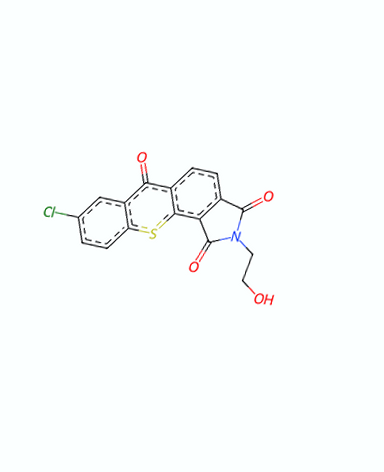 O=C1c2ccc3c(=O)c4cc(Cl)ccc4sc3c2C(=O)N1CCO